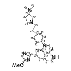 COc1cncc(-c2cc3cc[nH]c(=O)c3c(Nc3ccc(CCN4CCC(N(C)C)C4)cc3)n2)n1